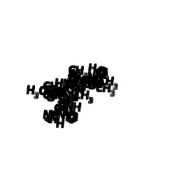 CCC[C@H](NC(=O)[C@@H](NC(=O)c1cnccn1)C1CCCCC1)C(=O)NC1CN(C(=O)OC(C)(C)C)CC1C(=O)N[C@@H](CCC)C(O)C(=O)NCC(=O)N[C@H](C(=O)N(C)C)c1ccccc1